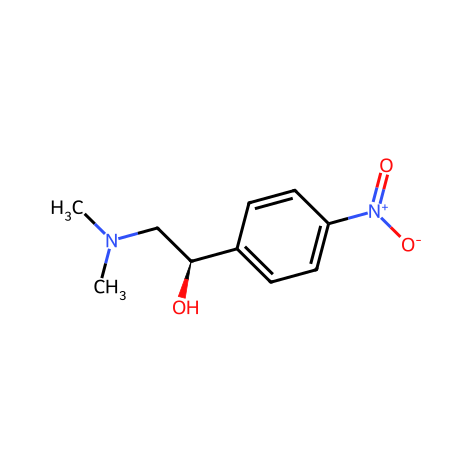 CN(C)C[C@H](O)c1ccc([N+](=O)[O-])cc1